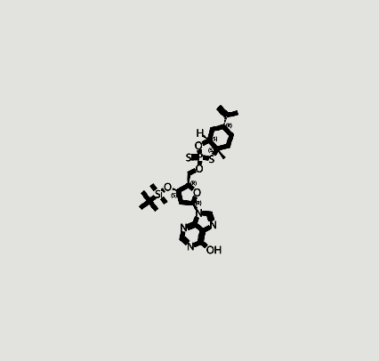 C=C(C)[C@@H]1CC[C@]2(C)SP(=S)(OC[C@H]3O[C@@H](n4cnc5c(O)ncnc54)C[C@@H]3O[Si](C)(C)C(C)(C)C)O[C@H]2C1